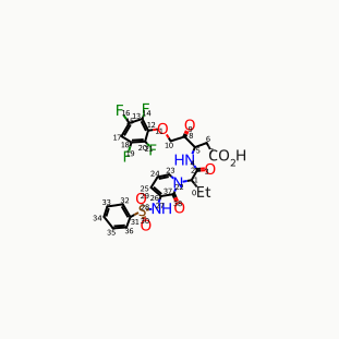 CCC(C(=O)NC(CC(=O)O)C(=O)COc1c(F)c(F)cc(F)c1F)n1cccc(NS(=O)(=O)c2ccccc2)c1=O